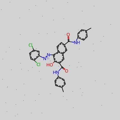 Cc1ccc(NC(=O)c2ccc3c(/N=N/c4cc(Cl)ccc4Cl)c(O)c(C(=O)Nc4ccc(C)cc4)cc3c2)cc1